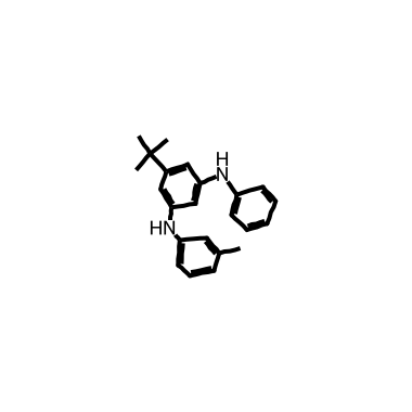 Cc1cccc(Nc2cc(Nc3ccccc3)cc(C(C)(C)C)c2)c1